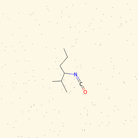 CCCC(N=C=O)C(C)C